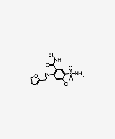 CCNC(=O)c1cc(S(N)(=O)=O)c(Cl)cc1NCc1ccco1